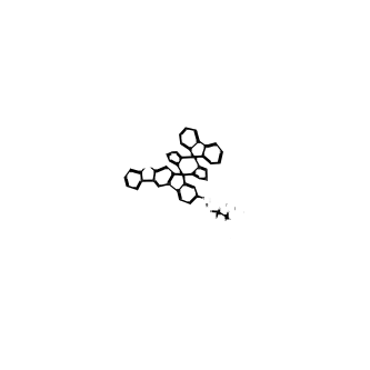 CC(C)(O)C(C)(C)OBc1ccc2c(c1)C1(c3cc4sc5ccccc5c4cc3-2)c2ccccc2C2(c3ccccc3-c3ccccc32)c2ccccc21